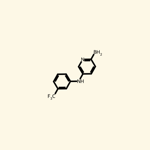 Bc1ccc(Nc2cccc(C(F)(F)F)c2)cn1